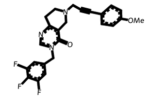 COc1ccc(C#CCN2CCc3ncn(Cc4cc(F)c(F)c(F)c4)c(=O)c3C2)cc1